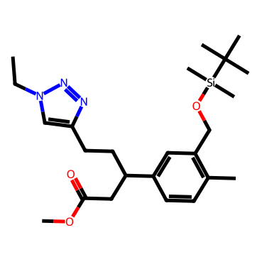 CCn1cc(CCC(CC(=O)OC)c2ccc(C)c(CO[Si](C)(C)C(C)(C)C)c2)nn1